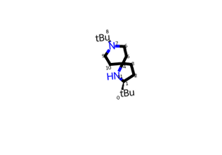 CC(C)(C)[C@@H]1CCC2(CCN(C(C)(C)C)CC2)N1